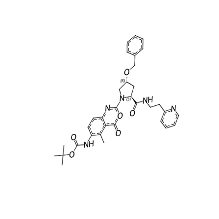 Cc1c(NC(=O)OC(C)(C)C)ccc2nc(N3C[C@H](OCc4ccccc4)C[C@H]3C(=O)NCCc3ccccn3)oc(=O)c12